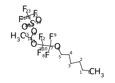 CCCCCCOC(F)(F)C(F)(F)OC(C)OS(=O)(=O)C(F)(F)F